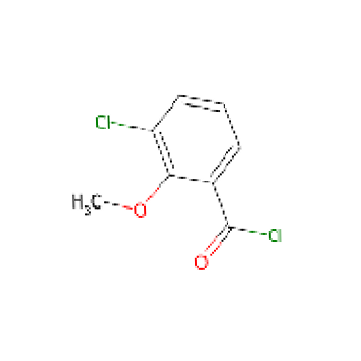 COc1c(Cl)cccc1C(=O)Cl